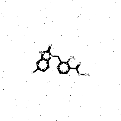 COC(=O)c1cccc(Cn2c(=O)[nH]c3cc(Cl)ccc32)c1C